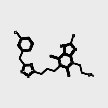 CCCn1c(=O)n(CCCn2nnc(Cc3cccc(Cl)c3)n2)c(=O)c2[nH]c(Cl)nc21